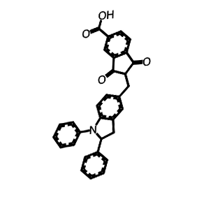 O=C(O)c1ccc2c(c1)C(=O)C(Cc1ccc3c(c1)CC(c1ccccc1)N3c1ccccc1)C2=O